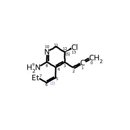 C=C=CC1=C(/C=C\CC)C(N)=NC[C@H]1Cl